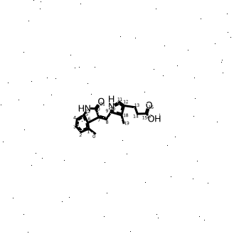 Cc1cccc2c1/C(=C/c1[nH]cc(CCC(=O)O)c1C)C(=O)N2